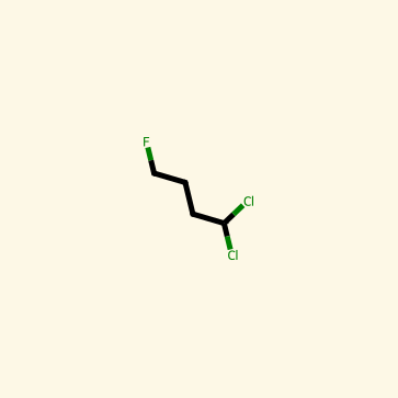 FCCC[C](Cl)Cl